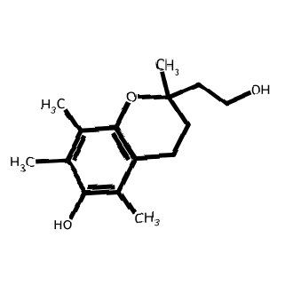 Cc1c(C)c2c(c(C)c1O)CCC(C)(CCO)O2